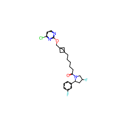 O=C(CCCCCC12CC(COc3nccc(Cl)n3)(C1)C2)N1CC(F)CC1c1cccc(F)c1